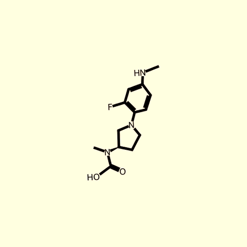 CNc1ccc(N2CC[C@@H](N(C)C(=O)O)C2)c(F)c1